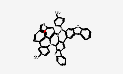 CC(C)(C)c1ccc(N2B3c4cc5sccc5cc4N(c4ccc(C(C)(C)C)cc4-c4ccccc4)c4c3c(cc3c4oc4ccccc43)-c3cc4c(cc32)oc2ccccc24)cc1